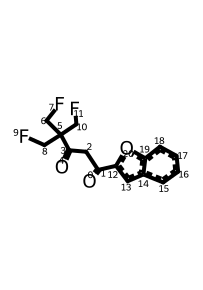 O=C(CC(=O)C(CF)(CF)CF)c1cc2ccccc2o1